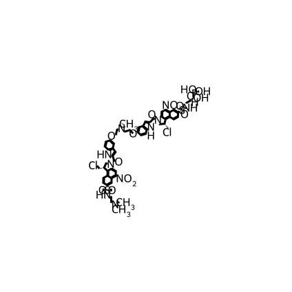 CN(C)CCNS(=O)(=O)c1ccc2c3c(cc([N+](=O)[O-])c2c1)N(C(=O)c1cc2cc(OCCN(C)CCOc4ccc5[nH]c(C(=O)N6C[C@@H](CCl)c7c6cc([N+](=O)[O-])c6cc(S(=O)(=O)NCCO[PH](O)(O)O)ccc76)cc5c4)ccc2[nH]1)C[C@H]3CCl